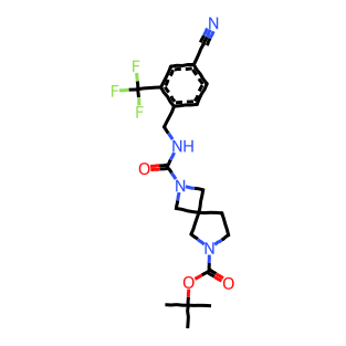 CC(C)(C)OC(=O)N1CCC2(CN(C(=O)NCc3ccc(C#N)cc3C(F)(F)F)C2)C1